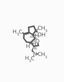 CC1=C2CC[C@@](C)(O)[C@@H]2[C@H]2OC[C@@H](CN(C)C)[C@@H]2CC1